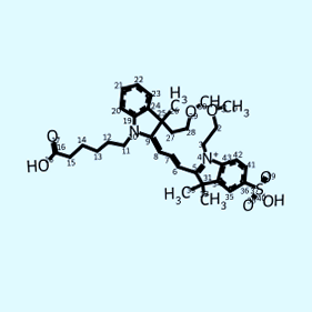 COCC[N+]1=C(/C=C/C=C2/N(CCCCCC(=O)O)c3ccccc3C2(C)CCOC)C(C)(C)c2cc(S(=O)(=O)O)ccc21